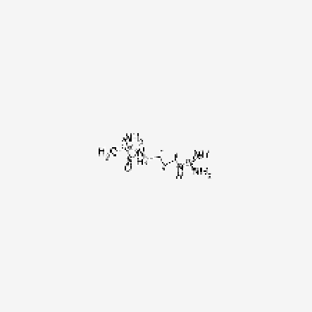 C[C@H](N)C(=O)NCCCCNC(=N)N